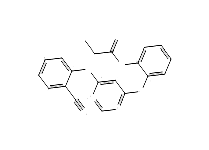 CCC(=O)Oc1ccccc1Oc1cc(Oc2ccccc2C#N)ncn1